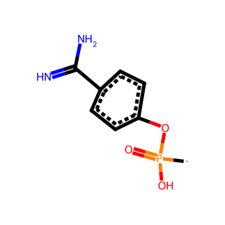 [CH2]P(=O)(O)Oc1ccc(C(=N)N)cc1